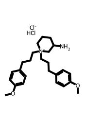 COc1ccc(CCC[N+]2(CCCc3ccc(OC)cc3)CCCC(N)C2)cc1.Cl.[Cl-]